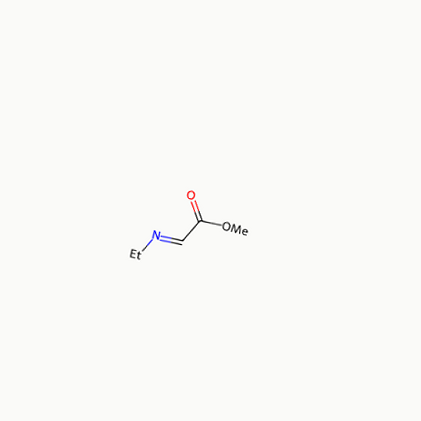 CCN=CC(=O)OC